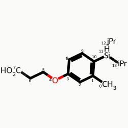 Cc1cc(OCCC(=O)O)ccc1[SiH](C(C)C)C(C)C